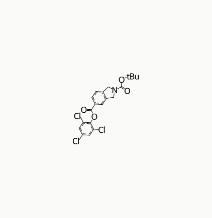 CC(C)(C)OC(=O)N1Cc2ccc(C(=O)Oc3c(Cl)cc(Cl)cc3Cl)cc2C1